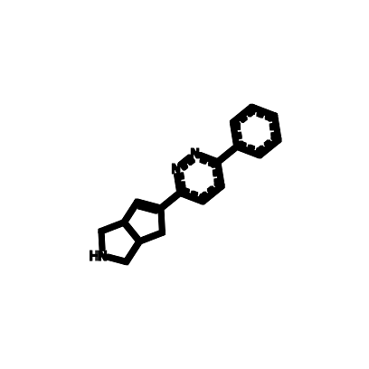 C1=C(c2ccc(-c3ccccc3)nn2)CC2CNCC12